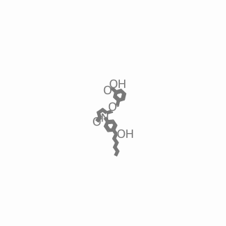 CCCCCC(O)c1ccc(N2C(=O)CCC2COCc2cccc(C(=O)O)c2)cc1